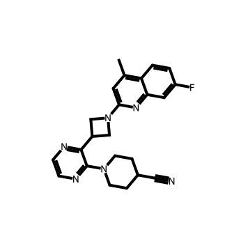 Cc1cc(N2CC(c3nccnc3N3CCC(C#N)CC3)C2)nc2cc(F)ccc12